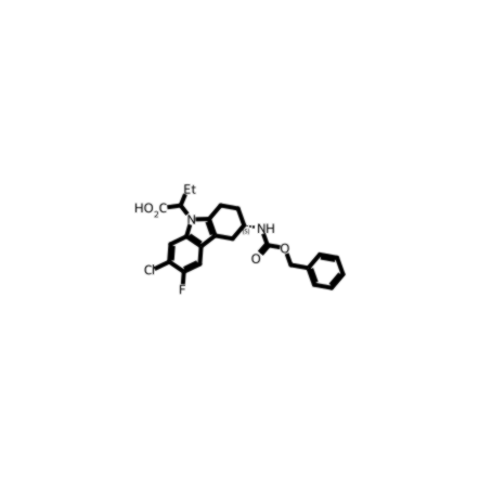 CCC(C(=O)O)n1c2c(c3cc(F)c(Cl)cc31)C[C@@H](NC(=O)OCc1ccccc1)CC2